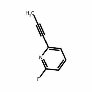 CC#Cc1cccc(F)n1